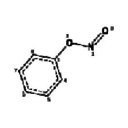 O=NOc1cc[c]cc1